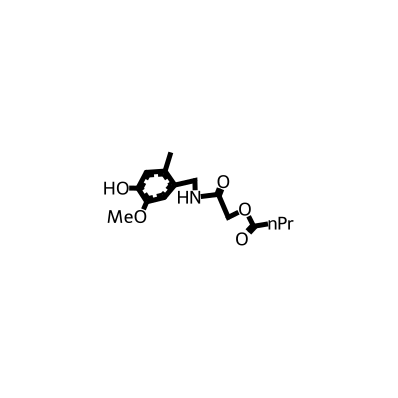 CCCC(=O)OCC(=O)NCc1cc(OC)c(O)cc1C